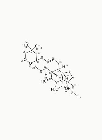 C=C1C[C@@]2(CC)[C@@H](CC[C@@]2(O)/C=C/I)[C@@H]2CC=C3CC4(CC[C@@H]3[C@@H]12)CC(C)(C)COO4